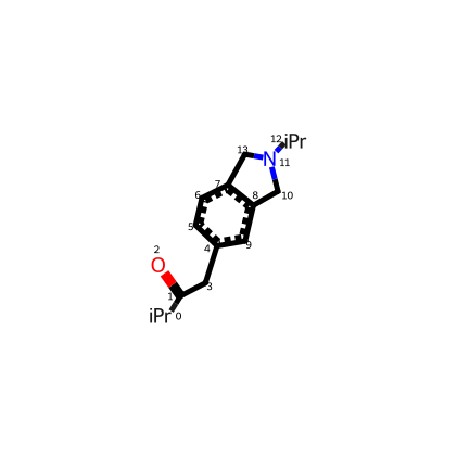 CC(C)C(=O)Cc1ccc2c(c1)CN(C(C)C)C2